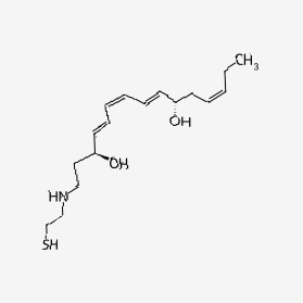 CC/C=C\C[C@H](O)/C=C/C=C\C=C\[C@@H](O)CCNCCS